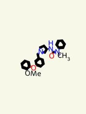 COc1ccccc1Oc1cccc(CN2CC[C@@H](NC(=O)N(C)c3ccccc3)C2)c1